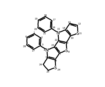 c1ccc(-n2c3c(c4sc5c6sccc6n(-c6ccccc6)c5c42)SCC3)cc1